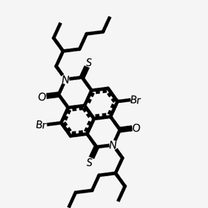 CCCCC(CC)CN1C(=O)c2c(Br)cc3c4c(c(Br)cc(c24)C1=S)C(=O)N(CC(CC)CCCC)C3=S